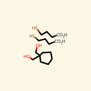 O=C(O)CCCS.O=C(O)CCCS.OCC1(CO)CCCCC1